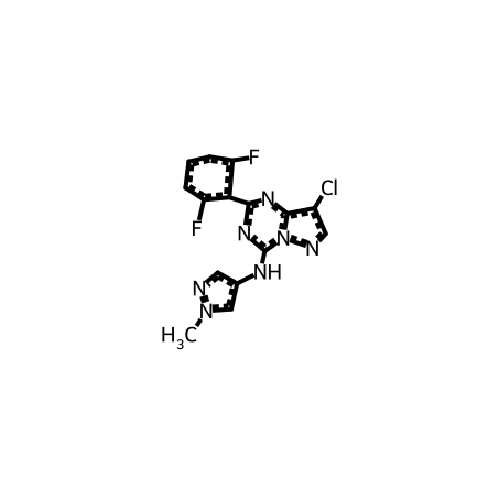 Cn1cc(Nc2nc(-c3c(F)cccc3F)nc3c(Cl)cnn23)cn1